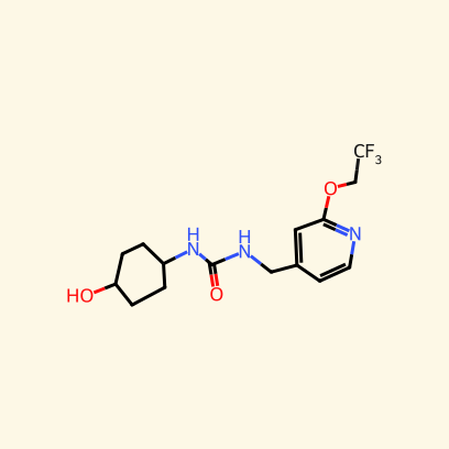 O=C(NCc1ccnc(OCC(F)(F)F)c1)NC1CCC(O)CC1